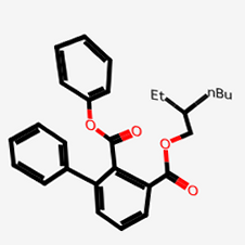 CCCCC(CC)COC(=O)c1cccc(-c2ccccc2)c1C(=O)Oc1ccccc1